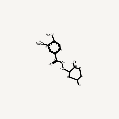 COc1ccc(C(=O)OO[C]2CC(C)CCC2C(C)C)cc1OC